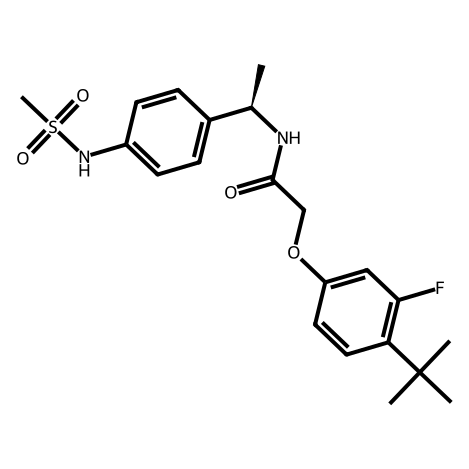 C[C@@H](NC(=O)COc1ccc(C(C)(C)C)c(F)c1)c1ccc(NS(C)(=O)=O)cc1